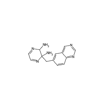 NC1N=CC=NC1(N)Cc1ccc2ncncc2c1